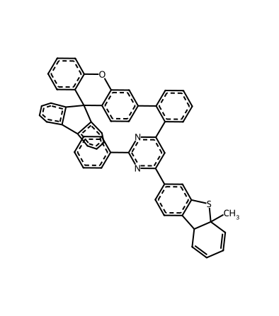 CC12C=CC=CC1c1ccc(-c3cc(-c4ccccc4-c4ccc5c(c4)Oc4ccccc4C54c5ccccc5-c5ccccc54)nc(-c4ccccc4)n3)cc1S2